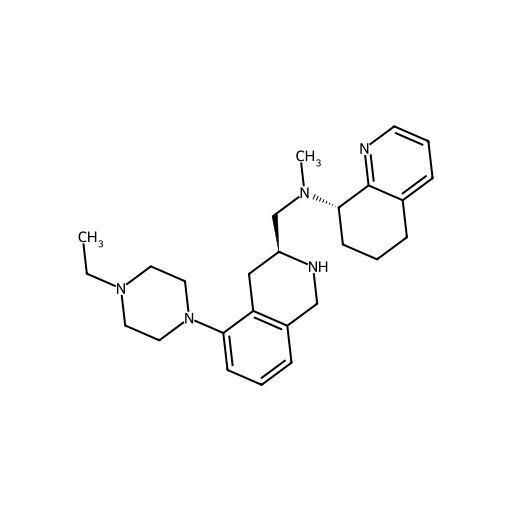 CCN1CCN(c2cccc3c2C[C@@H](CN(C)[C@H]2CCCc4cccnc42)NC3)CC1